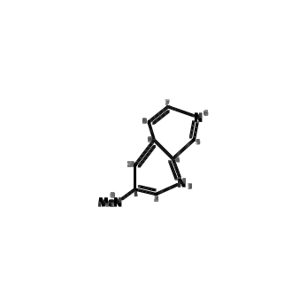 CNc1cnc2cnccc2c1